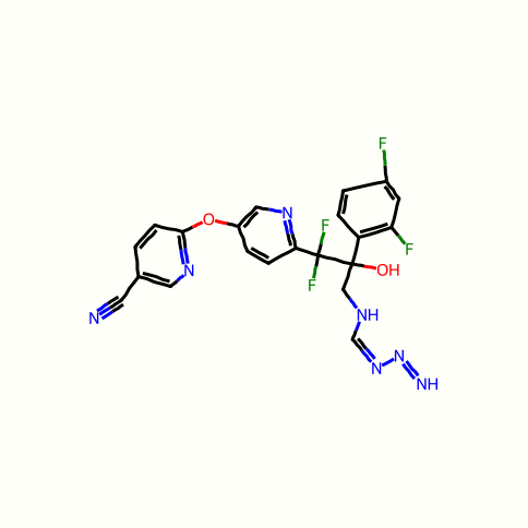 N#Cc1ccc(Oc2ccc(C(F)(F)C(O)(CN/C=N\N=N)c3ccc(F)cc3F)nc2)nc1